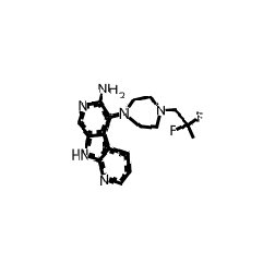 CC(F)(F)CN1CCN(c2c(N)ncc3[nH]c4ncccc4c23)CC1